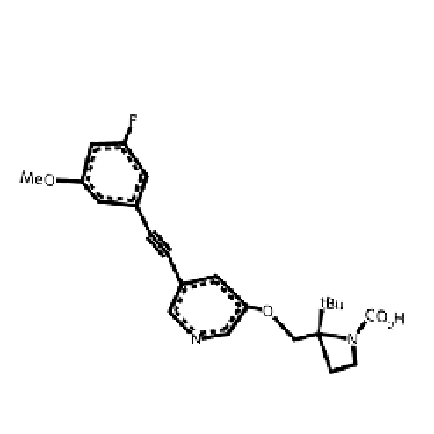 COc1cc(F)cc(C#Cc2cncc(OC[C@@]3(C(C)(C)C)CCN3C(=O)O)c2)c1